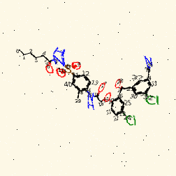 CCCCCC(=O)NS(=O)(=O)c1ccc(NC(=O)COc2ccc(Cl)cc2C(=O)c2cc(Cl)cc(C#N)c2)c(C)c1